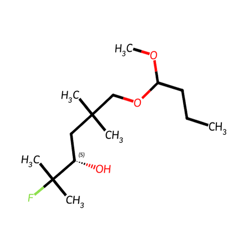 CCCC(OC)OCC(C)(C)C[C@H](O)C(C)(C)F